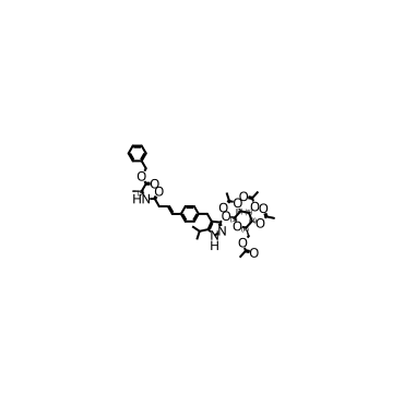 CC(=O)OC[C@H]1O[C@@H](Oc2n[nH]c(C(C)C)c2Cc2ccc(C=CCC(=O)N[C@@H](C)C(=O)OCc3ccccc3)cc2)[C@H](OC(C)=O)[C@@H](OC(C)=O)[C@@H]1OC(C)=O